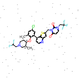 Cc1cc(Cl)cc(-c2ccnc3cc(Cn4c(=O)ccn(CC(F)(F)F)c4=O)sc23)c1O[C@@H]1CCN(CC(F)F)C[C@@H]1C